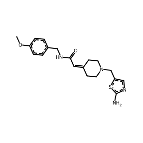 COc1ccc(CNC(=O)C=C2CCN(Cc3cnc(N)s3)CC2)cc1